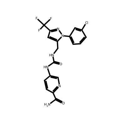 NC(=O)c1ccc(NC(=O)NCc2cc(C(F)(F)F)nn2-c2cccc(Cl)c2)cn1